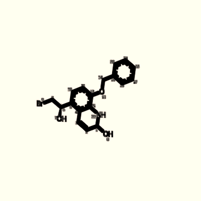 OC1C=Cc2c([C@@H](O)CBr)ccc(OCc3ccccc3)c2N1